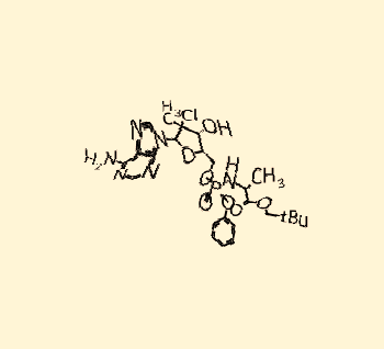 C[C@H](N[P@](=O)(OC[C@H]1O[C@@H](n2cnc3c(N)ncnc32)[C@](C)(Cl)[C@@H]1O)Oc1ccccc1)C(=O)OCC(C)(C)C